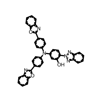 Oc1cc(N(c2ccc(-c3nc4ccccc4o3)cc2)c2ccc(-c3nc4ccccc4o3)cc2)ccc1-n1nc2ccccc2n1